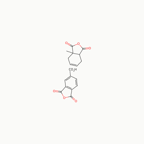 CC12CC=CCC1C(=O)OC2=O.O=C(O)c1ccc2c(c1)C(=O)OC2=O